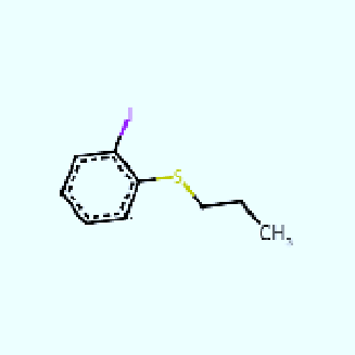 CCCSc1[c]cccc1I